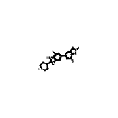 Cn1cc2cc(-c3cc(F)c4[nH]c(C5CCNCC5)nc4c3)cc(F)c2n1